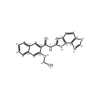 O=C(Nc1nc2ccc3scnc3c2s1)c1cc2ccccc2cc1OCO